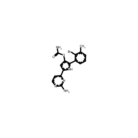 Cc1cccc(-c2[nH]c(-c3ccnc(N)n3)cc2OC(N)=O)c1Br